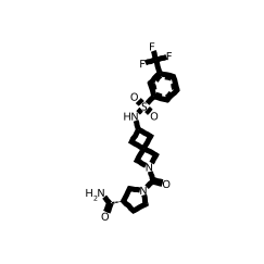 NC(=O)[C@H]1CCN(C(=O)N2CC3(CC(NS(=O)(=O)c4cccc(C(F)(F)F)c4)C3)C2)C1